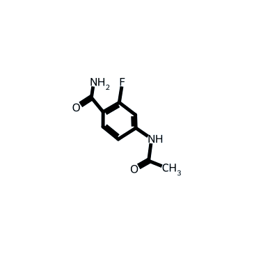 CC(=O)Nc1ccc(C(N)=O)c(F)c1